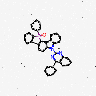 O=P1(c2ccccc2)c2ccccc2-c2ccc3c(c21)c1ccccc1n3-c1nc(-c2ccccc2)c2ccccc2n1